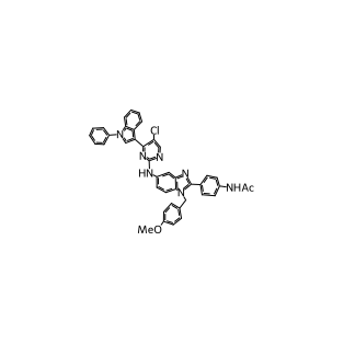 COc1ccc(Cn2c(-c3ccc(NC(C)=O)cc3)nc3cc(Nc4ncc(Cl)c(-c5cn(-c6ccccc6)c6ccccc56)n4)ccc32)cc1